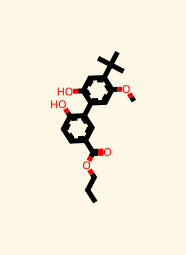 CCCOC(=O)c1ccc(O)c(-c2cc(OC)c(C(C)(C)C)cc2O)c1